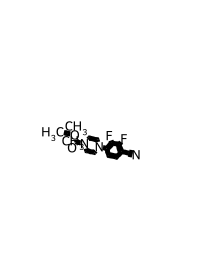 CC(C)(C)OC(=O)N1CCN(c2ccc(C#N)c(F)c2F)CC1